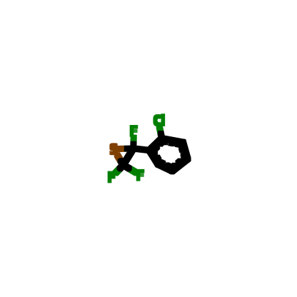 FC1(F)SC1(F)c1ccccc1Cl